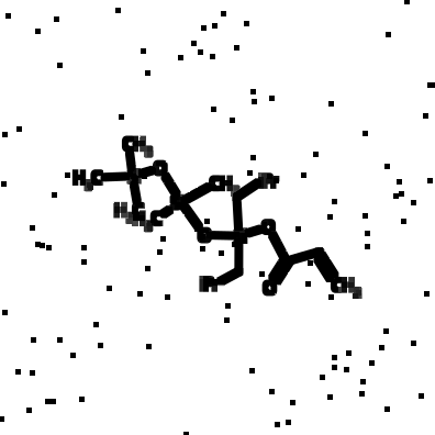 C=CC(=O)O[Si](CC(C)C)(CC(C)C)O[Si](C)(C)O[Si](C)(C)C